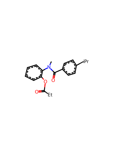 CCC(=O)Oc1ccccc1N(C)C(=O)c1ccc(C(C)C)cc1